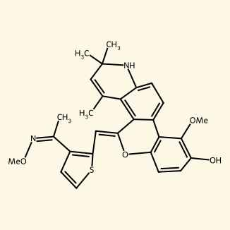 CO/N=C(/C)c1ccsc1/C=C1\Oc2ccc(O)c(OC)c2-c2ccc3c(c21)C(C)=CC(C)(C)N3